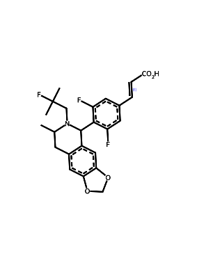 CC1Cc2cc3c(cc2C(c2c(F)cc(/C=C/C(=O)O)cc2F)N1CC(C)(C)F)OCO3